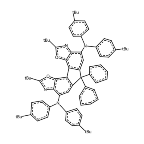 CC(C)(C)c1ccc(N(c2ccc(C(C)(C)C)cc2)c2cc3c(c4oc(C(C)(C)C)nc24)-c2c(cc(N(c4ccc(C(C)(C)C)cc4)c4ccc(C(C)(C)C)cc4)c4nc(C(C)(C)C)oc24)C3(c2ccccc2)c2ccccc2)cc1